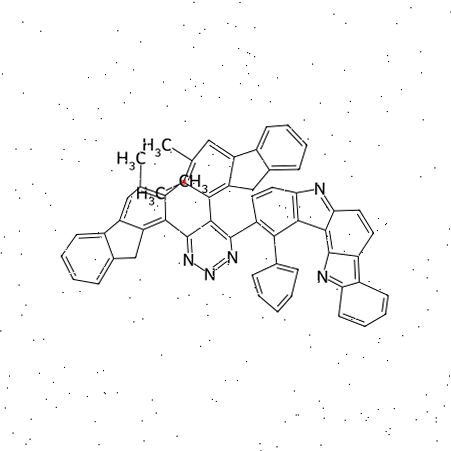 Cc1cc2c(c(-c3nnnc(-c4ccc5c(c4-c4ccccc4)-c4c6c(ccc4=N5)=c4ccccc4=N6)c3-c3c(C)c(C)cc4c3Cc3ccccc3-4)c1C)Cc1ccccc1-2